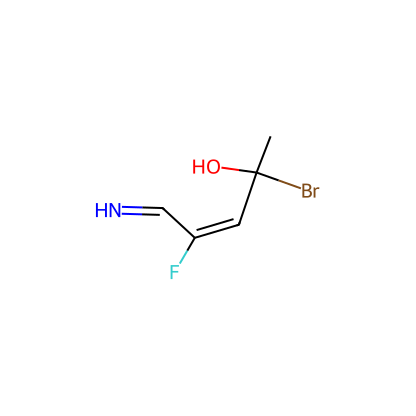 CC(O)(Br)/C=C(/F)C=N